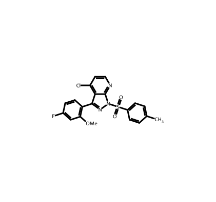 COc1cc(F)ccc1-c1nn(S(=O)(=O)c2ccc(C)cc2)c2nccc(Cl)c12